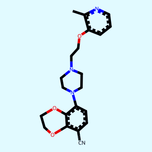 Cc1ncccc1OCCN1CCN(c2ccc(C#N)c3c2OCCO3)CC1